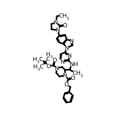 CCN1CCN(c2ccc3c(c2)ncn3-c2ccnc(NC(C)C3CN(C(=O)OC(C)(C)C)CCN3C(=O)OCc3ccccc3)n2)C1=O